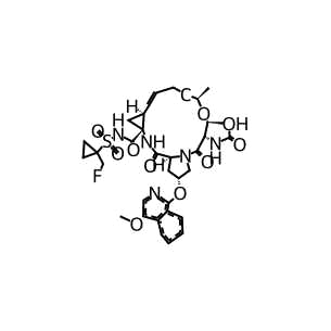 COc1cnc(O[C@@H]2C[C@H]3C(=O)N[C@]4(C(=O)NS(=O)(=O)C5(CF)CC5)C[C@H]4/C=C\CC[C@@H](C)O[C@@H](C)[C@H](NC(=O)O)C(=O)N3C2)c2ccccc12